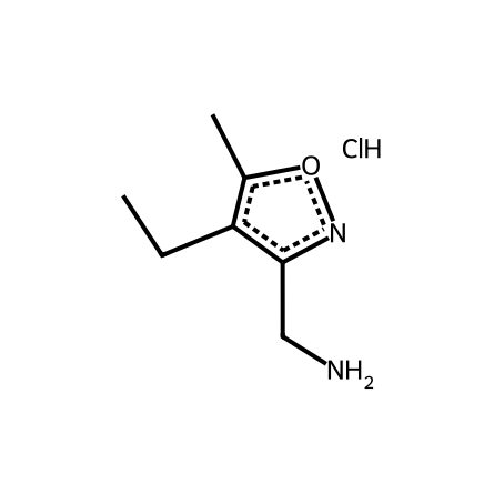 CCc1c(CN)noc1C.Cl